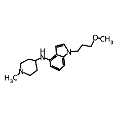 COCCCn1ccc2c(NC3CCN(C)CC3)cccc21